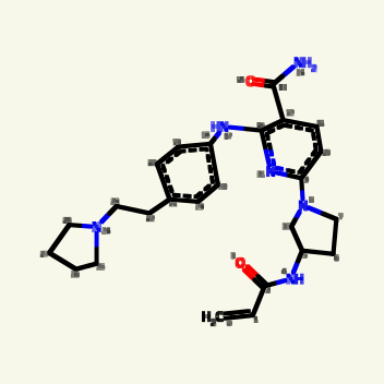 C=CC(=O)NC1CCN(c2ccc(C(N)=O)c(Nc3ccc(CCN4CCCC4)cc3)n2)C1